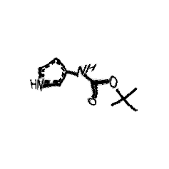 CC(C)(C)OC(=O)Nc1cc[nH]c1